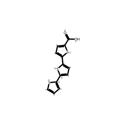 O=C(O)c1c[c]c(-c2ccc(-c3cccs3)s2)s1